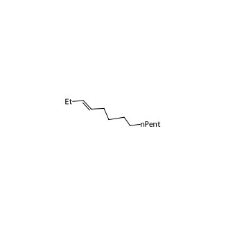 [CH2]CC=CCCCCCCCCC